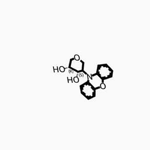 O[C@@H]1COCC(N2c3ccccc3Oc3ccccc32)[C@@H]1O